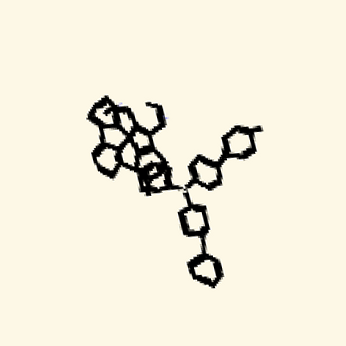 C/C=C\C1=C(/C=C\C)C2(c3cc(C)ccc31)c1ccccc1-c1cccc(-c3ccc(N(c4ccc(-c5ccccc5)cc4)c4ccc(-c5ccc(C)cc5)cc4)cc3)c12